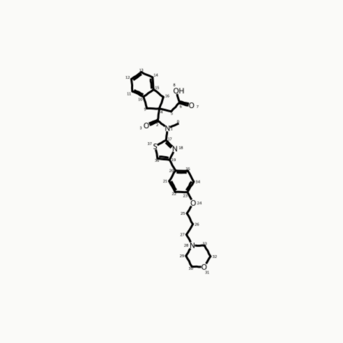 CN(C(=O)C1(CC(=O)O)Cc2ccccc2C1)c1nc(-c2ccc(OCCCN3CCOCC3)cc2)cs1